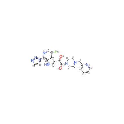 O=C(C(=O)N1CCN(Cc2ccccn2)CC1)c1c[nH]c2c(-n3ccnn3)ncc(F)c12